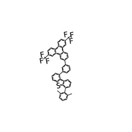 Cc1cccc(C)c1-c1cccc2c1sc1cccc(-c3cccc(-c4ccc5c(c4)c4cc(C(F)(F)F)ccc4c4ccc(C(F)(F)F)cc45)c3)c12